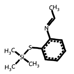 CC=Nc1ccccc1S[Si](C)(C)C